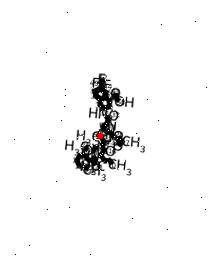 CCC(C)C(NC(=O)C1CCCCN1C)C(=O)N(CCOC)[C@H](C[C@@H](OC(C)=O)c1nc(C(=O)N[C@H]2Cc3ccc(C(F)(F)F)cc3[C@H](C(=O)O)C2)cs1)C(C)C